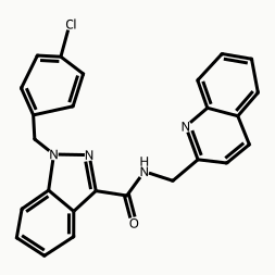 O=C(NCc1ccc2ccccc2n1)c1nn(Cc2ccc(Cl)cc2)c2ccccc12